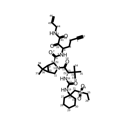 C#CCCC(NC(=O)[C@@H]1C2C(CN1C(=O)[C@@H](NC(=O)NC1(CS(=O)(=O)CC)CCCCC1)C(C)(C)C)C2(C)C)C(=O)C(=O)NCC=C